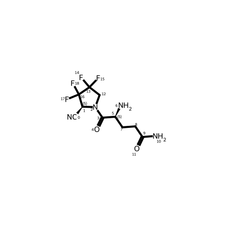 N#C[C@@H]1N(C(=O)[C@@H](N)CCC(N)=O)CC(F)(F)C1(F)F